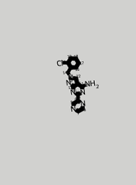 Nc1nc(-c2cnccn2)nc2nn(Cc3ccccc3Cl)cc12